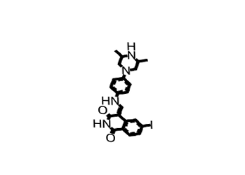 CC1CN(c2ccc(N/C=C3\C(=O)NC(=O)c4ccc(I)cc43)cc2)CC(C)N1